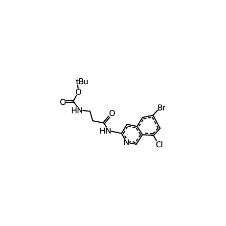 CC(C)(C)OC(=O)NCCC(=O)Nc1cc2cc(Br)cc(Cl)c2cn1